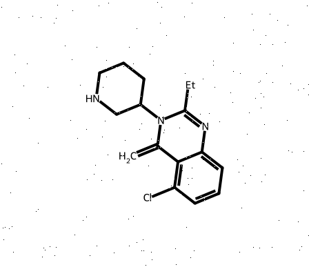 C=C1c2c(Cl)cccc2N=C(CC)N1C1CCCNC1